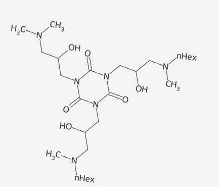 CCCCCCN(C)CC(O)Cn1c(=O)n(CC(O)CN(C)C)c(=O)n(CC(O)CN(C)CCCCCC)c1=O